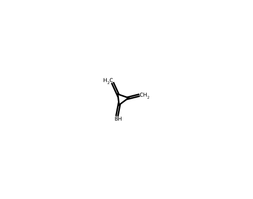 B=C1C(=C)C1=C